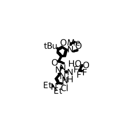 CCN(CC)c1cc2nn(CC(=O)c3cc(N4CCOCC4)c(OC)c(C(C)(C)C)c3)c(=N)n2nc1Cl.O=C(O)C(F)(F)F